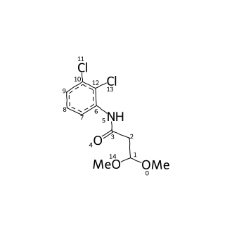 COC(CC(=O)Nc1cccc(Cl)c1Cl)OC